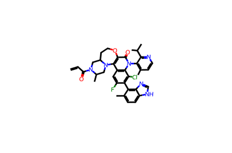 C=CC(=O)N1CC2CCOc3c(c4cc(F)c(-c5c(C)ccc6[nH]cnc56)c(Cl)c4n(-c4c(C)ccnc4C(C)C)c3=O)N2CC1C